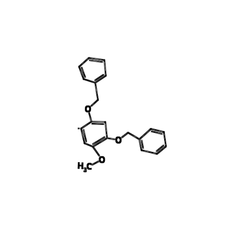 COc1c[c]c(OCc2ccccc2)cc1OCc1ccccc1